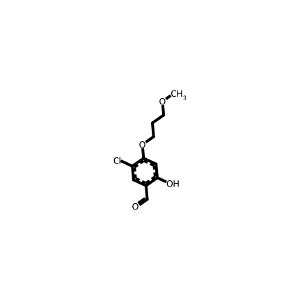 COCCCOc1cc(O)c(C=O)cc1Cl